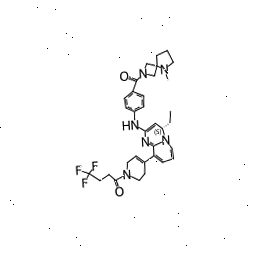 CC[C@H]1C=C(Nc2ccc(C(=O)N3CC4(CCCN4C)C3)cc2)N=C2C(C3=CCN(C(=O)CCC(F)(F)F)CC3)=CC=CN21